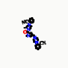 C[C@H]1CN(c2ccccc2C#N)CCN1C(=O)c1cc(CN2CCN(c3ccccc3C#N)CC2)cn1C